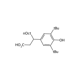 CCCCCCCCC(CC(=O)O)c1cc(C(C)(C)C)c(O)c(C(C)(C)C)c1